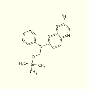 [2H]c1cnc2ccc(N(CO[Si](C)(C)C)c3ccccc3)nc2n1